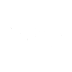 CCOc1ccc2c(c1)C(=[N+](C)C)C=C(O)/C2=C1/C(=O)C(c2c(O)cc(N(C)C)c3cc(C)ccc23)=C1[O-]